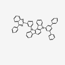 c1ccc(-c2cc(-c3ccccc3)cc(-n3c4ccccc4c4c3ccc3c5ccccc5n(-c5cccc(-c6nc(-c7ccccc7)c7ccccc7n6)c5)c34)c2)cc1